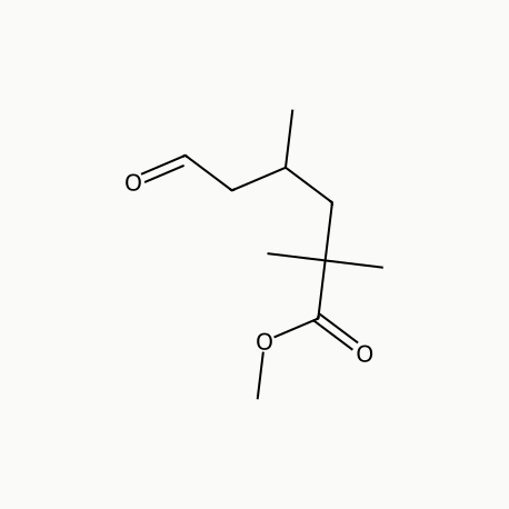 COC(=O)C(C)(C)CC(C)CC=O